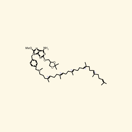 COc1nc2c(N)nc(OCC3COC(C)(C)O3)nc2n1Cc1ccc(CN(C)CCC/C(C)=C/CC/C(C)=C/CC/C(C)=C/CC/C=C(\C)CC/C=C(\C)CCC=C(C)C)cc1